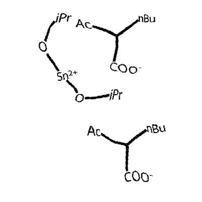 CC(C)[O][Sn+2][O]C(C)C.CCCCC(C(C)=O)C(=O)[O-].CCCCC(C(C)=O)C(=O)[O-]